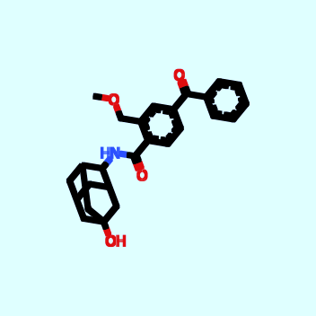 COCc1cc(C(=O)c2ccccc2)ccc1C(=O)NC1C2CC3CC1CC(O)(C3)C2